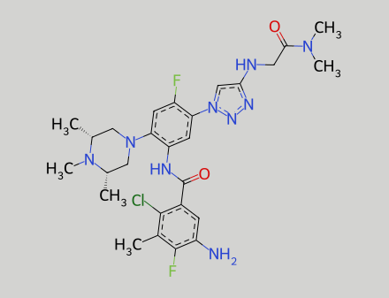 Cc1c(F)c(N)cc(C(=O)Nc2cc(-n3cc(NCC(=O)N(C)C)nn3)c(F)cc2N2C[C@@H](C)N(C)[C@@H](C)C2)c1Cl